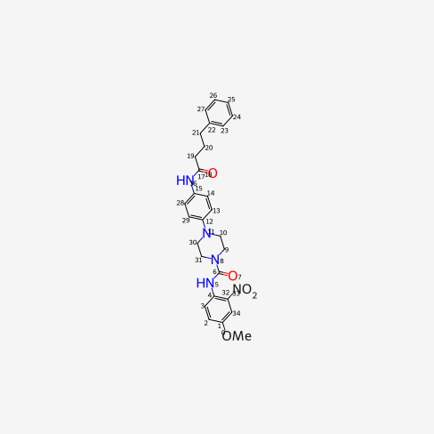 COc1ccc(NC(=O)N2CCN(c3ccc(NC(=O)CCCc4ccccc4)cc3)CC2)c([N+](=O)[O-])c1